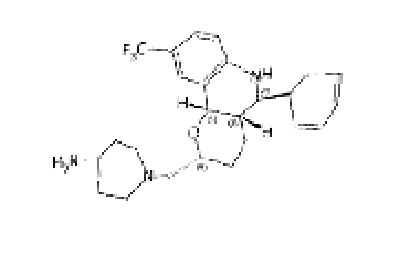 NC1CCN(C[C@H]2CC[C@@H]3[C@H](O2)c2cc(C(F)(F)F)ccc2N[C@H]3C2C=CC=CC2)CC1